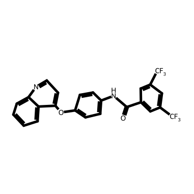 O=C(Nc1ccc(Oc2ccnc3ccccc23)cc1)c1cc(C(F)(F)F)cc(C(F)(F)F)c1